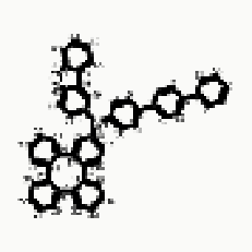 c1ccc(-c2ccc(-c3ccc(N(c4ccc5c(c4)-c4ccccc4-c4ccccc4-c4ccccc4-5)c4ccc5oc6ccccc6c5c4)cc3)cc2)cc1